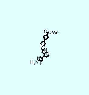 COC(=O)c1ccc(C2CCN(Cc3cc4c(-c5cnc(N)c(F)c5)ccnc4n3C)CC2)cc1